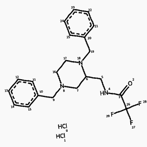 Cl.Cl.O=C(NCC1CN(Cc2ccccc2)CCN1Cc1ccccc1)C(F)(F)F